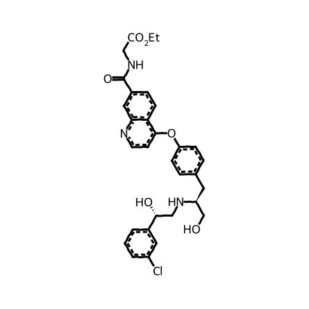 CCOC(=O)CNC(=O)c1ccc2c(Oc3ccc(C[C@@H](CO)NC[C@@H](O)c4cccc(Cl)c4)cc3)ccnc2c1